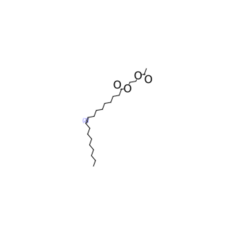 CCCCCCCC/C=C\CCCCCCCC(=O)OCCOC(C)=O